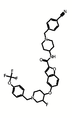 N#Cc1ccc(CN2CCC(NC(=O)c3cc4cc(OC5CCN(Cc6ccc(OC(F)(F)F)cc6)CC5F)ccc4o3)CC2)cc1